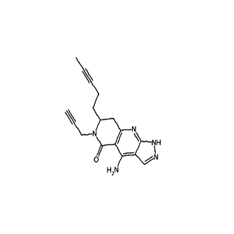 C#CCN1C(=O)c2c(nc3[nH]ncc3c2N)CC1CCC#CC